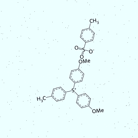 COc1ccc([S+](c2ccc(C)cc2)c2ccc(OC)cc2)cc1.Cc1ccc(S(=O)(=O)[O-])cc1